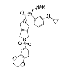 CNC[C@H](C(=O)N1CC2=C(C1)CN(S(=O)(=O)c1ccc3c(c1)OCCO3)C2)c1cccc(OC2CC2)c1